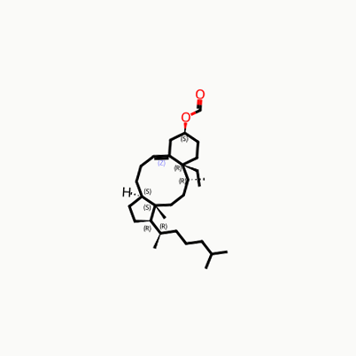 CC[C@]12CC[C@H](OC=O)C/C1=C/CC[C@@H]1CC[C@H]([C@H](C)CCCC(C)C)[C@@]1(C)CC[C@H]2C